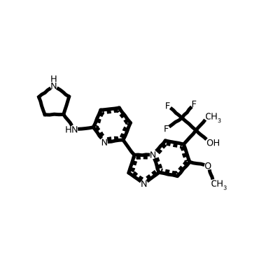 COc1cc2ncc(-c3cccc(NC4CCNC4)n3)n2cc1C(C)(O)C(F)(F)F